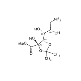 COC(=O)[C@@]1(O)OC(C)(C)O[C@H]1[C@H](O)[C@@H](O)CN